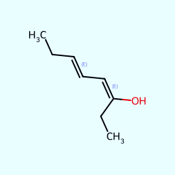 CC/C=C/C=C(/O)CC